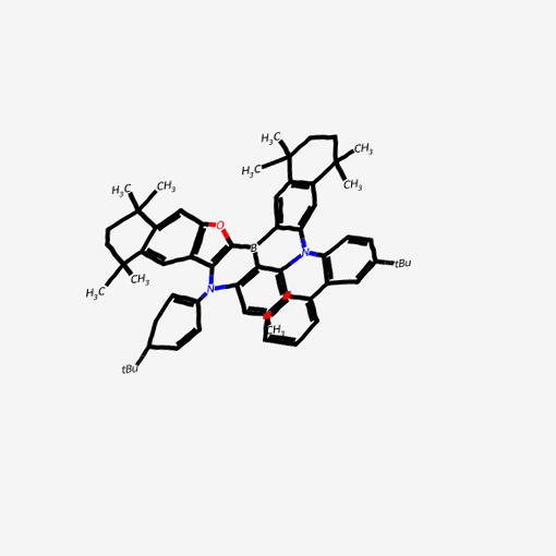 Cc1cc2c3c(c1)N(c1ccc(C(C)(C)C)cc1-c1ccccc1)c1cc4c(cc1B3c1oc3cc5c(cc3c1N2C1=CCC(C(C)(C)C)C=C1)C(C)(C)CCC5(C)C)C(C)(C)CCC4(C)C